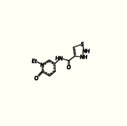 CCn1cc(NC(=O)C2=CSNN2)ccc1=O